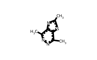 Cc1nc2c(C)nnc(C)c2s1